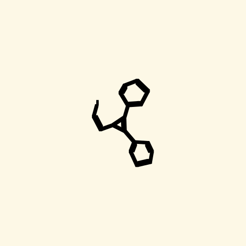 I/C=C\C1C(c2ccccc2)=C1c1ccccc1